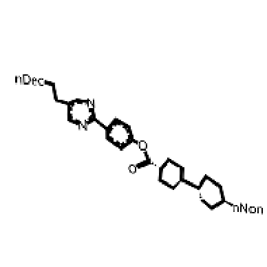 CCCCCCCCCCCCc1cnc(-c2ccc(OC(=O)[C@H]3CC[C@H]([C@H]4CC[C@H](CCCCCCCCC)CC4)CC3)cc2)nc1